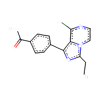 COC(=O)c1ccc(-c2nc(CC#N)n3ccnc(Cl)c23)cc1